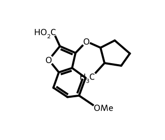 COc1ccc2oc(C(=O)O)c(OC3CCCC3C)c2c1